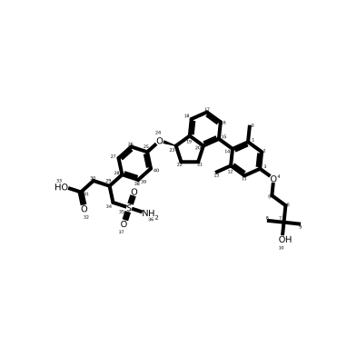 Cc1cc(OCCC(C)(C)O)cc(C)c1-c1cccc2c1CC[C@H]2Oc1ccc(C(CC(=O)O)CS(N)(=O)=O)cc1